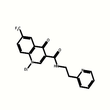 CCn1cc(C(=O)NCCc2ccccn2)c(=O)c2cc(C(F)(F)F)ccc21